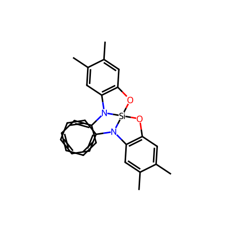 Cc1cc2c(cc1C)N(c1ccccc1)[Si]1(O2)Oc2cc(C)c(C)cc2N1c1ccccc1